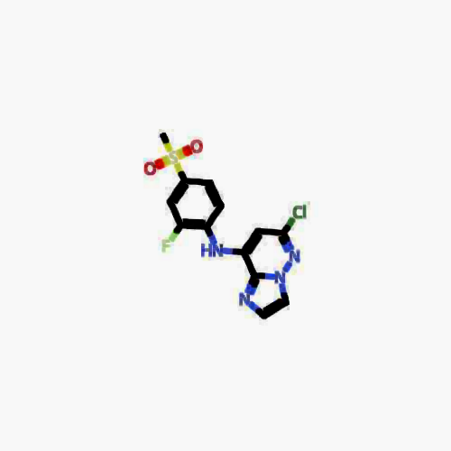 CS(=O)(=O)c1ccc(Nc2cc(Cl)nn3ccnc23)c(F)c1